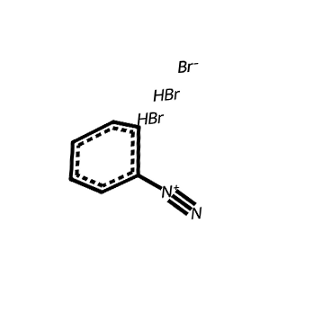 Br.Br.N#[N+]c1ccccc1.[Br-]